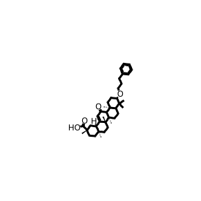 CC1(C)C2CC[C@]3(C)C(C(=O)C=C4[C@@H]5C[C@@](C)(C(=O)O)CC[C@]5(C)CC[C@]43C)[C@@]2(C)CC[C@H]1OCCCc1ccccc1